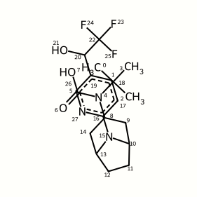 CC(C)(C)N(C(=O)O)C1CC2CCC(C1)N2c1ccc(C(O)C(F)(F)F)cn1